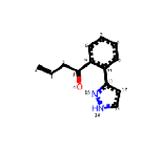 C=CCC(=O)c1ccccc1-c1cc[nH]n1